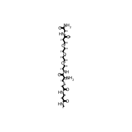 CNC(=O)CCNC(=O)CSC[C@H](N)C(=O)NCCOCCOCCOCCC(=O)NCC(N)=O